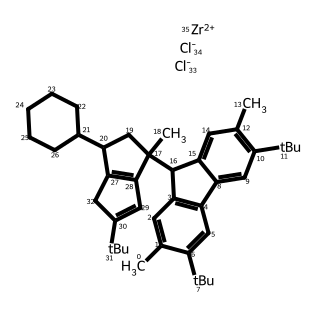 Cc1cc2c(cc1C(C)(C)C)-c1cc(C(C)(C)C)c(C)cc1C2C1(C)CC(C2CCCCC2)C2=C1C=C(C(C)(C)C)C2.[Cl-].[Cl-].[Zr+2]